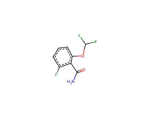 NC(=O)c1c(F)cccc1OC(F)F